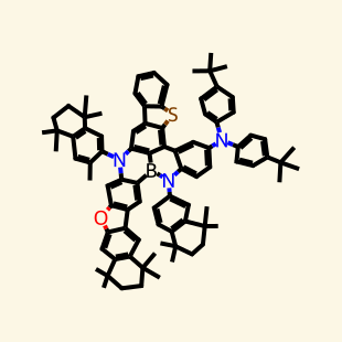 Cc1cc2c(cc1N1c3cc4oc5cc6c(cc5c4cc3B3c4c1cc1c(sc5ccccc51)c4-c1cc(N(c4ccc(C(C)(C)C)cc4)c4ccc(C(C)(C)C)cc4)ccc1N3c1ccc3c(c1)C(C)(C)CCC3(C)C)C(C)(C)CCC6(C)C)C(C)(C)CCC2(C)C